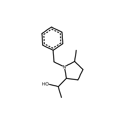 CC(O)C1CCC(C)N1Cc1ccccc1